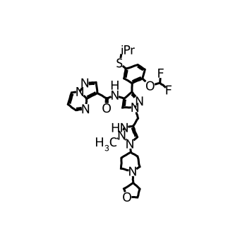 CC(C)Sc1ccc(OC(F)F)c(-c2nn(CC3=CN(C4CCN(C5CCOC5)CC4)N(C)N3)cc2NC(=O)c2cnn3cccnc23)c1